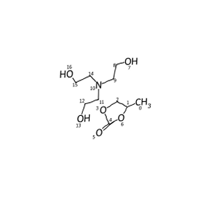 CC1COC(=O)O1.OCCN(CCO)CCO